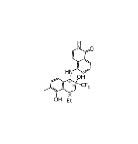 CC[C@H]1C[C@](O)(C(F)(F)F)[C@@H](Nc2cccc3c(=O)[nH]ccc23)c2ccc(C)c(O)c21